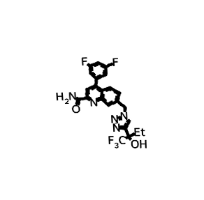 CCC(O)(c1cn(Cc2ccc3c(-c4cc(F)cc(F)c4)cc(C(N)=O)nc3c2)nn1)C(F)(F)F